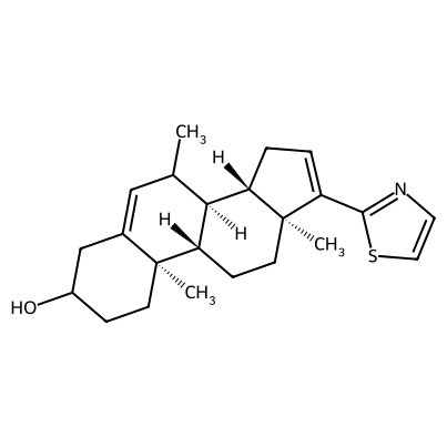 CC1C=C2CC(O)CC[C@]2(C)[C@H]2CC[C@]3(C)C(c4nccs4)=CC[C@H]3[C@H]12